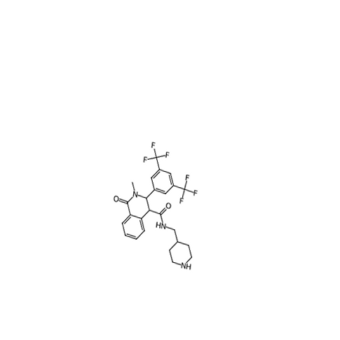 CN1C(=O)c2ccccc2C(C(=O)NCC2CCNCC2)C1c1cc(C(F)(F)F)cc(C(F)(F)F)c1